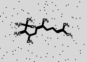 C=C(N(C)C/C=C(/C)CCC=C(C)C)C(C)(C)C